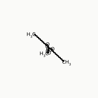 CCCCCCCCCCCCCCCC(=O)OCC(COC(=O)CCCCCCCCCCCCCCC)OCOC(C)=O